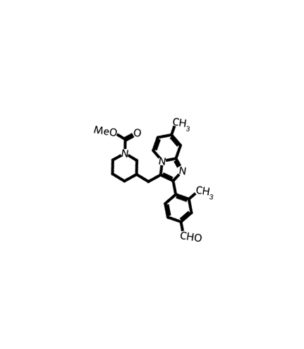 COC(=O)N1CCCC(Cc2c(-c3ccc(C=O)cc3C)nc3cc(C)ccn23)C1